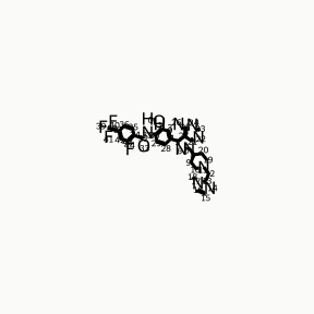 COc1cc(-c2nn(C3CCN(Cc4nccn4C)CC3)c3ncnc(N)c23)ccc1NC(=O)c1ccc(C(F)(F)F)cc1F